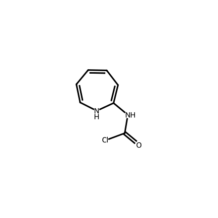 O=C(Cl)NC1=CC=CC=CN1